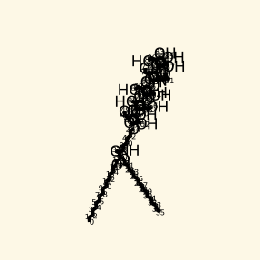 CCCCCCCCCCCCCCCCOC[C@@H](OCCCCCCCCCCCCCCCC)C(=O)NCCCCCO[C@@H]1OC(CO)[C@@H](O[C@@H]2OC(CO)[C@H](O[C@H]3OC(CO)[C@H](O)[C@H](O[C@@H]4OC(CO)[C@H](O)[C@H](O[C@@H]5OC(CO)[C@H](O)[C@H](O)C5O)C4NC(C)=O)C3O)[C@H](O)C2O)[C@H](O)C1O